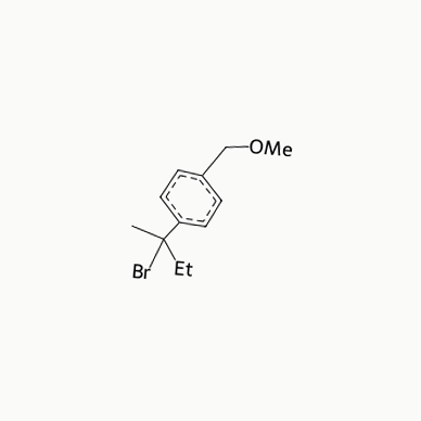 CCC(C)(Br)c1ccc(COC)cc1